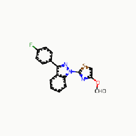 O=COc1csc(-n2nc(-c3ccc(F)cc3)c3ccccc32)n1